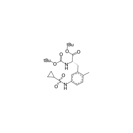 Cc1ccc(NS(=O)(=O)C2CC2)cc1C[C@H](NC(=O)OC(C)(C)C)C(=O)OC(C)(C)C